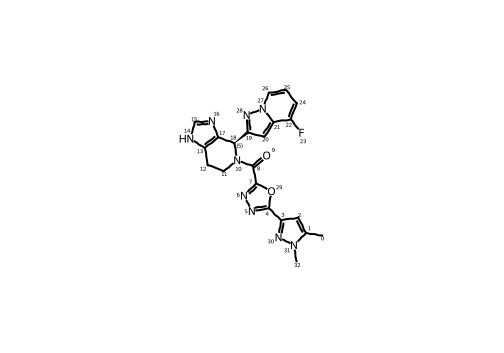 Cc1cc(-c2nnc(C(=O)N3CCc4[nH]cnc4[C@H]3c3cc4c(F)cccn4n3)o2)nn1C